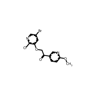 COc1ccc(C(=O)COc2cc(Br)cnc2Cl)cn1